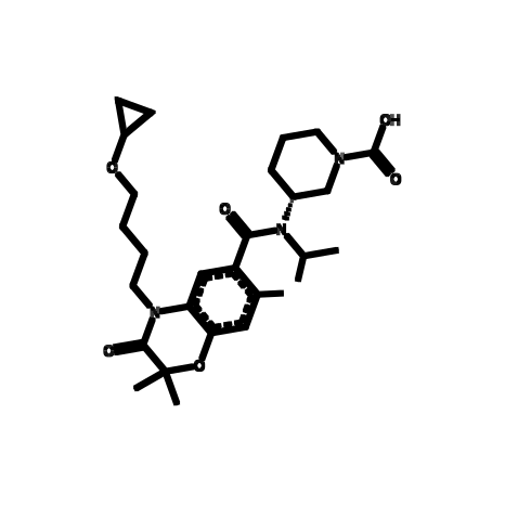 Cc1cc2c(cc1C(=O)N(C(C)C)[C@@H]1CCCN(C(=O)O)C1)N(CCCCOC1CC1)C(=O)C(C)(C)O2